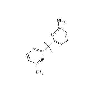 Bc1cccc(C(C)(C)c2cccc(B)n2)n1